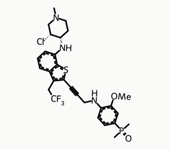 COc1cc(P(C)(C)=O)ccc1NCC#Cc1sc2c(N[C@H]3CCN(C)C[C@H]3Cl)cccc2c1CC(F)(F)F